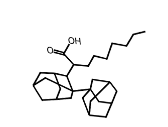 CCCCCCCC(C(=O)O)C1C2CC3CC(C2)CC1(C12CC4CC(CC(C4)C1)C2)C3